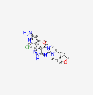 Cn1c(N2CCC3(CCOC3)CC2)nc2[nH]nc(-c3ccc(N)nc3Cl)c2c1=O